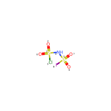 O=S(=O)(Cl)NS(=O)(=O)I